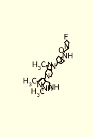 CNc1nc(C)cc(N2CCc3c(c(C)nn3CC34CCC(NC(=O)CN5CC(F)C5)(CC3)C4)C2)c1C=N